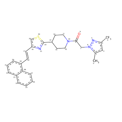 Cc1cc(C(F)(F)F)nn1CC(=O)N1CCC(c2nc(/C=C/c3cccc4ccccc34)cs2)CC1